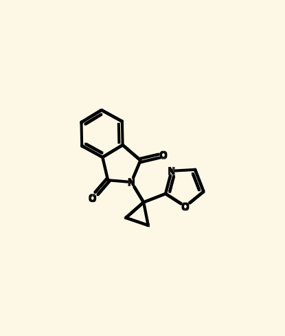 O=C1c2ccccc2C(=O)N1C1(c2ncco2)CC1